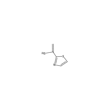 C=C(S)c1nccs1